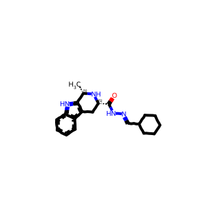 C[C@@H]1N[C@H](C(=O)NN=CC2CCCCC2)Cc2c1[nH]c1ccccc21